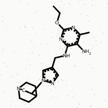 CCOc1nc(C)c(N)c(NCc2cnn(C3CN4CCC3CC4)c2)n1